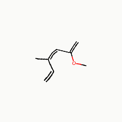 C=C/C(C)=C\C(=C)OC